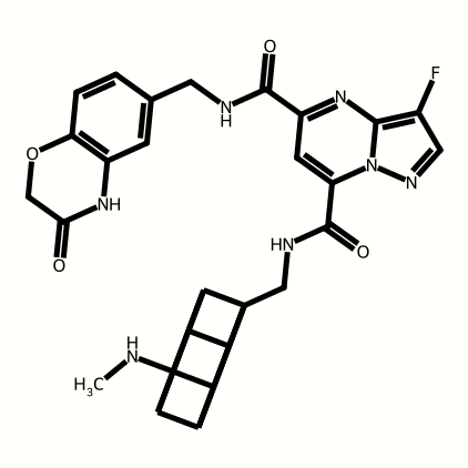 CNC12C3C4C1C1C2C3C41CNC(=O)c1cc(C(=O)NCc2ccc3c(c2)NC(=O)CO3)nc2c(F)cnn12